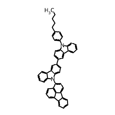 CCCCCc1ccc(-n2c3ccccc3c3cc(-c4ccc5c(c4)c4ccccc4n5-c4ccc5c6c(cccc46)-c4ccccc4-5)ccc32)cc1